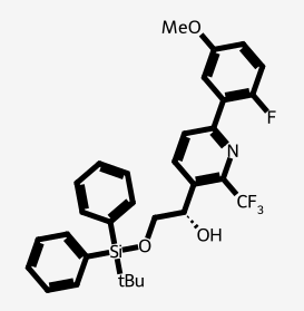 COc1ccc(F)c(-c2ccc([C@H](O)CO[Si](c3ccccc3)(c3ccccc3)C(C)(C)C)c(C(F)(F)F)n2)c1